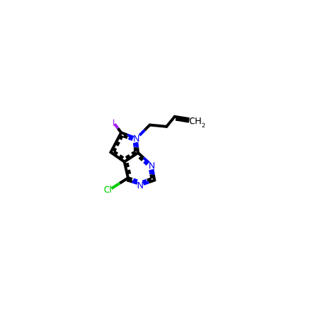 C=CCCn1c(I)cc2c(Cl)ncnc21